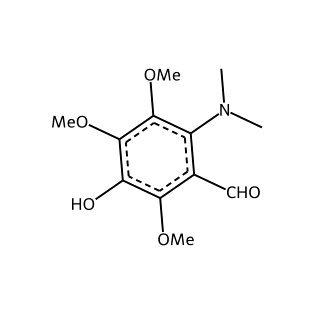 COc1c(O)c(OC)c(OC)c(N(C)C)c1C=O